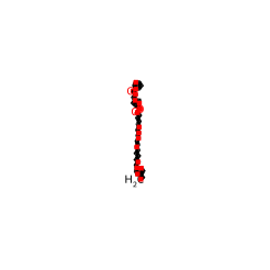 C=Cc1ccc(CCCCCCCCCCCCCCCCCCC(=O)Oc2ccc(C=CC(=O)c3ccccc3)cc2)cc1